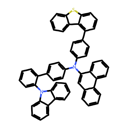 c1ccc(-n2c3ccccc3c3ccccc32)c(-c2ccc(N(c3ccc(-c4cccc5sc6ccccc6c45)cc3)c3cc4ccccc4c4ccccc34)cc2)c1